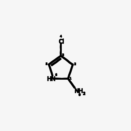 NC1CC(Cl)=CN1